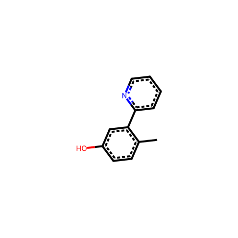 Cc1ccc(O)cc1-c1ccccn1